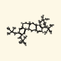 [2H]C([2H])([2H])Oc1cc2c(cc1OC([2H])([2H])[2H])C1Cc3ccc(OC([2H])([2H])[2H])c(OC([2H])([2H])[2H])c3CN1CC2